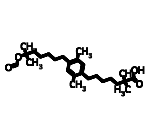 Cc1cc(CCCCCC(C)(C)C(=O)O)c(C)cc1CCCCCC(C)(C)OC=O